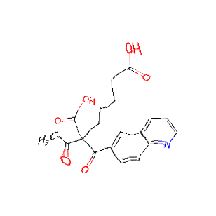 CC(=O)C(CCCCC(=O)O)(C(=O)O)C(=O)c1ccc2ncccc2c1